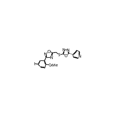 COc1ccc(I)cc1-c1noc(CSc2nnc(-c3ccncc3)o2)n1